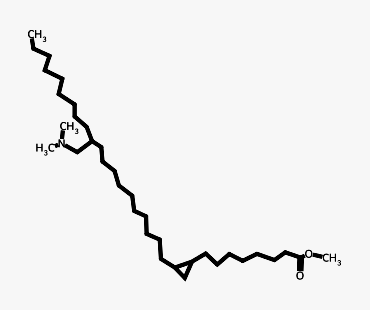 CCCCCCCCCC(CCCCCCCCCCC1CC1CCCCCCCC(=O)OC)CN(C)C